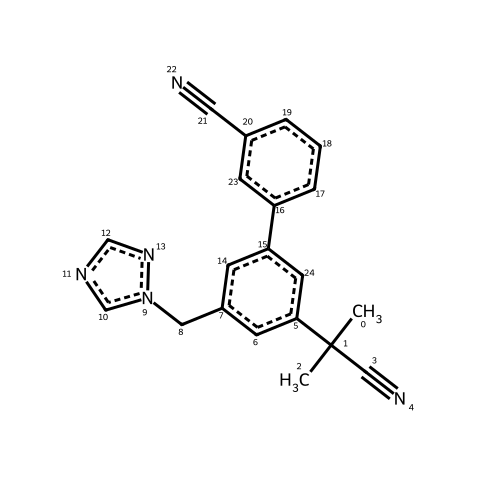 CC(C)(C#N)c1cc(Cn2cncn2)cc(-c2cccc(C#N)c2)c1